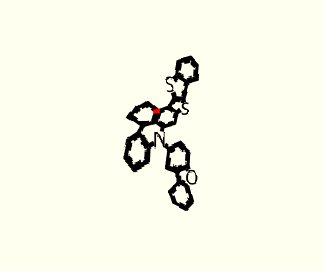 c1ccc(-c2ccccc2N(c2ccc3c(c2)sc2c4ccccc4sc32)c2ccc3oc4ccccc4c3c2)cc1